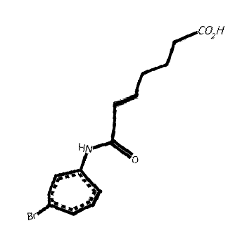 O=C(O)CCCCCC(=O)Nc1cccc(Br)c1